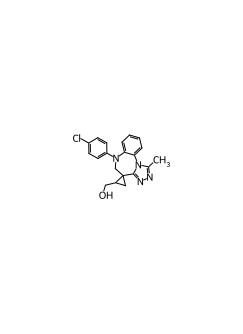 Cc1nnc2n1-c1ccccc1N(c1ccc(Cl)cc1)CC21CC1CO